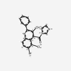 Cc1c(-c2ccccc2)nc2ccc(Br)c(Cl)c2c1C(=O)n1ccnc1